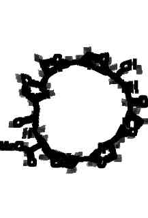 COC(=O)C1NC(=O)c2coc(n2)-c2coc(n2)-c2coc(n2)C(C)NC(=O)c2coc(n2)-c2coc(n2)-c2coc1n2